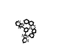 C1=C=Nc2c(nc(-c3cc(-c4nc5cccnc5n4-c4ccccc4)cc(N4c5ccccc5Sc5ccccc54)c3)n2-c2ccccc2)C=1